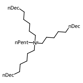 CCCCCCCCCCCCCCC[N+](CCCCC)(CCCCCCCCCCCCCCC)CCCCCCCCCCCCCCC